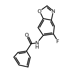 O=C(Nc1cc2ocnc2cc1F)c1ccccc1